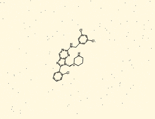 Clc1cc(Cl)cc(CNc2ncc3nc(-c4ccccc4Cl)n(C[C@@H]4CCCNC4)c3n2)c1